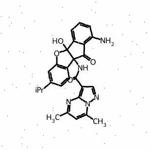 Cc1cc(C)n2ncc(C(=O)NC34C(=O)c5c(N)cccc5C3(O)Oc3cc(C(C)C)ccc34)c2n1